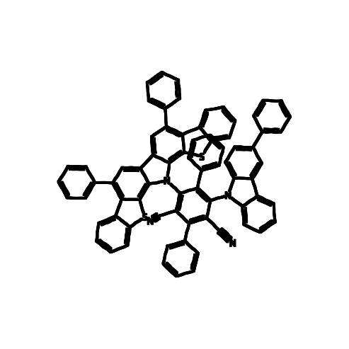 N#Cc1c(-c2ccccc2)c(C#N)c(-n2c3c(cc(-c4ccccc4)c4c5ccccc5sc43)c3cc(-c4ccccc4)c4c5ccccc5sc4c32)c(-c2ccccc2)c1-n1c2ccccc2c2cc(-c3ccccc3)ccc21